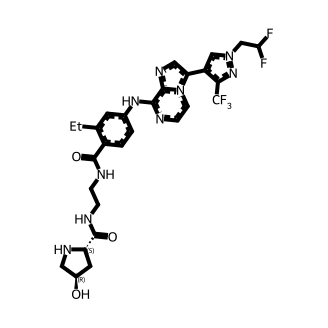 CCc1cc(Nc2nccn3c(-c4cn(CC(F)F)nc4C(F)(F)F)cnc23)ccc1C(=O)NCCNC(=O)[C@@H]1C[C@@H](O)CN1